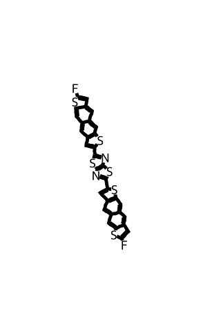 Fc1cc2cc3cc4sc(-c5nc6sc(-c7cc8cc9cc%10sc(F)cc%10cc9cc8s7)nc6s5)cc4cc3cc2s1